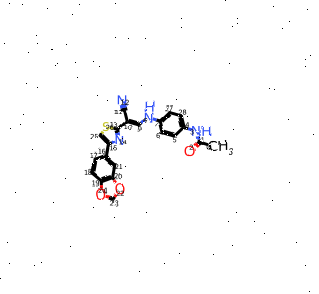 CC(=O)Nc1ccc(NC=C(C#N)c2nc(-c3ccc4c(c3)OCO4)cs2)cc1